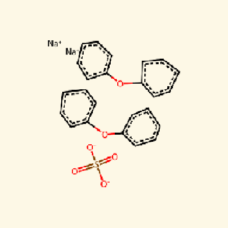 O=S(=O)([O-])[O-].[Na+].[Na+].c1ccc(Oc2ccccc2)cc1.c1ccc(Oc2ccccc2)cc1